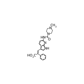 CN1CCN(C(=O)Nc2ccc3c(C=C(C(=O)O)c4ccccc4)c[nH]c3n2)CC1